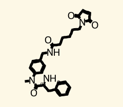 CN(C(=O)[C@@H](N)Cc1ccccc1)c1ccc(CNC(=O)CCCCCN2C(=O)C=CC2=O)cc1